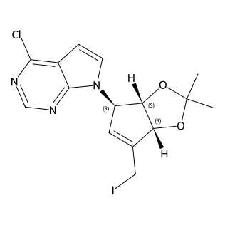 CC1(C)O[C@@H]2[C@H](O1)C(CI)=C[C@H]2n1ccc2c(Cl)ncnc21